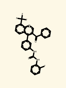 O=C(c1ccccc1)c1cnc2c(C(F)(F)F)cccc2c1-c1cccc(NC(=S)Nc2ccccc2F)c1